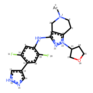 CC(=O)N1CCc2c(c(Nc3cc(F)c(-c4cn[nH]c4)cc3F)nn2C2CCOC2)C1